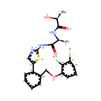 CCC[C@H](NC(=O)[C@@H](O)C(C)(C)C)C(=O)Nc1ncc(-c2ccccc2COc2cccc(F)c2F)s1